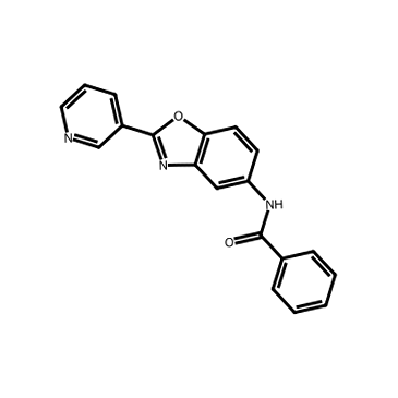 O=C(Nc1ccc2oc(-c3cccnc3)nc2c1)c1ccccc1